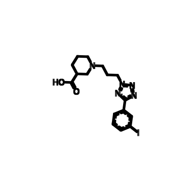 O=C(O)C1CCCN(CCCn2nnc(-c3cccc(I)c3)n2)C1